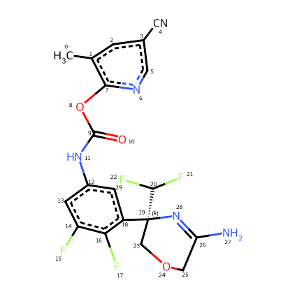 Cc1cc(C#N)cnc1OC(=O)Nc1cc(F)c(F)c([C@]2(C(F)F)COCC(N)=N2)c1